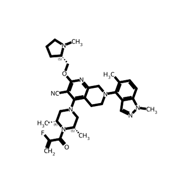 C=C(F)C(=O)N1[C@H](C)CN(c2c(C#N)c(OC[C@@H]3CCCN3C)nc3c2CCN(c2c(C)ccc4c2cnn4C)C3)C[C@@H]1C